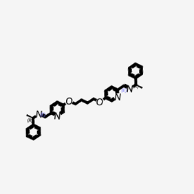 C[C@@H](/N=C/c1ccc(OCCCCOc2ccc(/C=N/[C@H](C)c3ccccc3)nc2)cn1)c1ccccc1